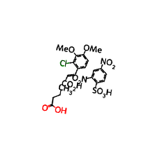 CCCC(=O)O.COc1ccc(C=CC(=O)O)c(Cl)c1OC.O=[N+]([O-])c1ccc(S(=O)(=O)O)c([N+](=O)[O-])c1